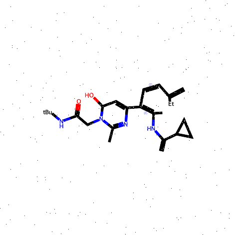 C=C(/C=C\C(C1=CC(O)N(CC(=O)NC(C)(C)C)C(C)=N1)=C(/C)NC(=C)C1CC1)CC